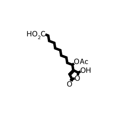 CC(=O)OC(CCCCCCCCC(=O)O)C1=CC(=O)OC1O